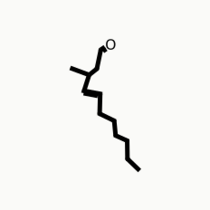 CCCCCCC=CC(C)CC=O